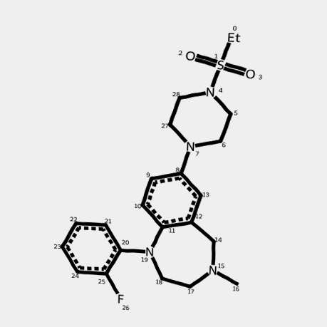 CCS(=O)(=O)N1CCN(c2ccc3c(c2)CN(C)CCN3c2ccccc2F)CC1